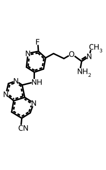 C/N=C(/N)OCCc1cc(Nc2ncnc3cc(C#N)cnc23)cnc1F